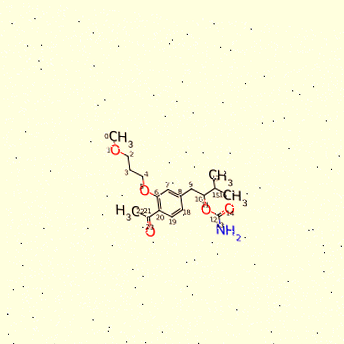 COCCCOc1cc(CC(OC(N)=O)C(C)C)ccc1C(C)=O